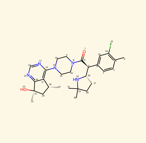 Cc1ccc([C@H](C(=O)N2CCN(c3ncnc4c3[C@H](C)C[C@@]4(C)O)CC2)[C@@H]2CCC(C)(C)N2)cc1F